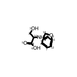 NC(CO)C(=O)O.c1cc2cc(c1)OC2